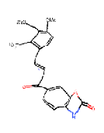 COc1ccc(/C=C/C(=O)c2ccc3[nH]c(=O)oc3c2)c(C(=O)O)c1OC